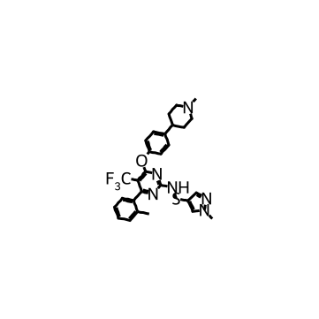 Cc1ccccc1-c1nc(NSc2cnn(C)c2)nc(Oc2ccc(C3CCN(C)CC3)cc2)c1C(F)(F)F